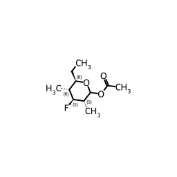 CC[C@H]1OC(OC(C)=O)[C@H](C)[C@@H](F)[C@@H]1C